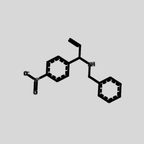 C=CC(NCc1ccccc1)c1ccc([N+](=O)[O-])cc1